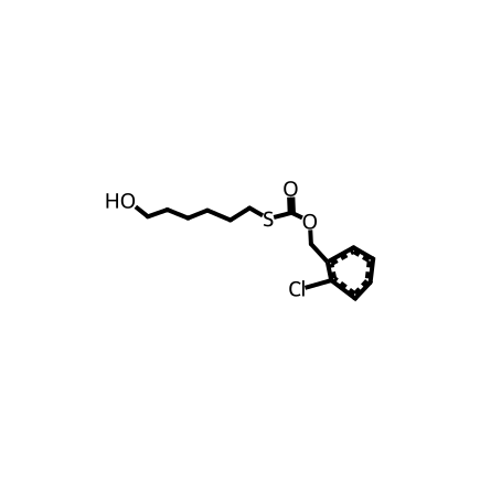 O=C(OCc1ccccc1Cl)SCCCCCCO